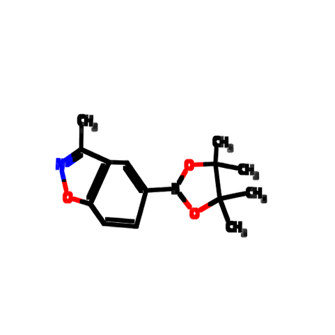 Cc1noc2ccc(B3OC(C)(C)C(C)(C)O3)cc12